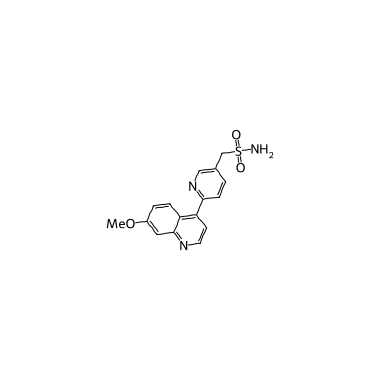 COc1ccc2c(-c3ccc(CS(N)(=O)=O)cn3)ccnc2c1